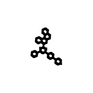 c1ccc(-c2cc(-c3ccc(-c4ccncc4)cc3)nc(-c3cc4ccc5ccccc5c4c4ccccc34)n2)cc1